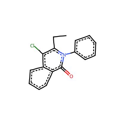 CCc1c(Cl)c2ccccc2c(=O)n1-c1ccccc1